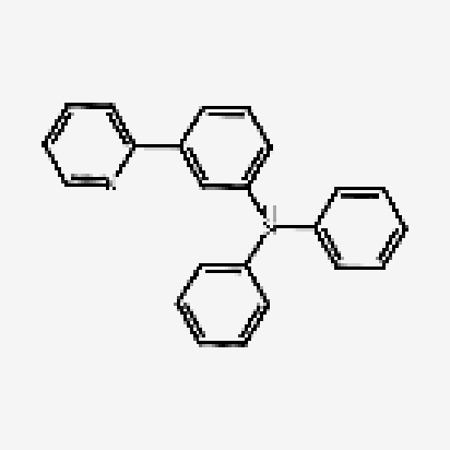 c1ccc([SiH](c2ccccc2)c2cccc(-c3ccccn3)c2)cc1